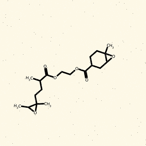 CC(CCC1(C)OC1C)C(=O)OCCOC(=O)C1CCC2(C)OC2C1